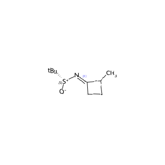 CC1CC/C1=N\[S@+]([O-])C(C)(C)C